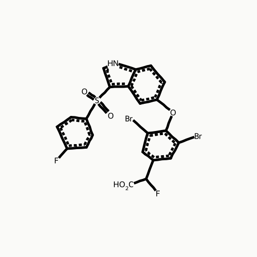 O=C(O)C(F)c1cc(Br)c(Oc2ccc3[nH]cc(S(=O)(=O)c4ccc(F)cc4)c3c2)c(Br)c1